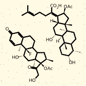 CC(=O)O[C@H]1C[C@@]2(C)[C@H](C[C@@H](O)[C@@H]3[C@@]4(C)CC[C@@H](O)[C@@H](C)C4CC[C@@]32C)C1=C(CCC=C(C)C)C(=O)O.CC(=O)O[C@]1(C(=O)CO)[C@H](C)CC2C3CCC4=CC(=O)C=C[C@]4(C)[C@@]3(F)[C@@H](O)C[C@@]21C